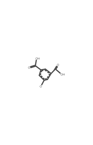 [O]c1cc(C(=O)O)cc(C(=O)O)c1